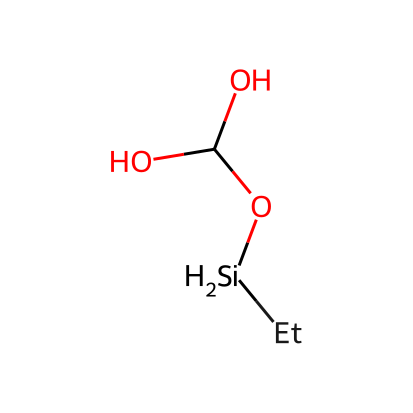 CC[SiH2]OC(O)O